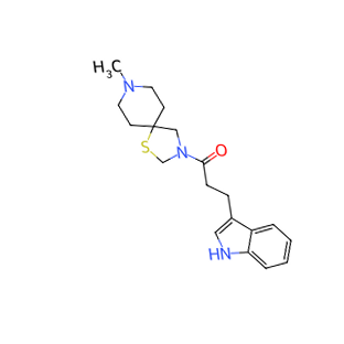 CN1CCC2(CC1)CN(C(=O)CCc1c[nH]c3ccccc13)CS2